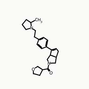 CC1CCCN1CCc1ccc(C2=CCC3CN(C(=O)C4CCOC4)CC23)cc1